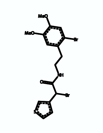 COc1cc(Br)c(CCNC(=O)C(Br)c2ccsc2)cc1OC